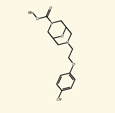 CC(C)(C)OC(=O)N1CC2CN(CCOc3ccc(C#N)cc3)CC(C1)O2